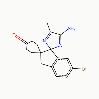 CC1=NC2(N=C1N)c1cc(Br)ccc1CC21CCC(=O)CC1